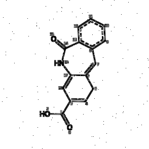 O=C(O)C1=CCC2=Cc3ccccc3C(=O)NC2=C1